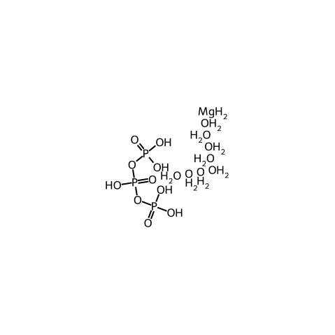 O.O.O.O.O.O.O.O.O=P(O)(O)OP(=O)(O)OP(=O)(O)O.[MgH2]